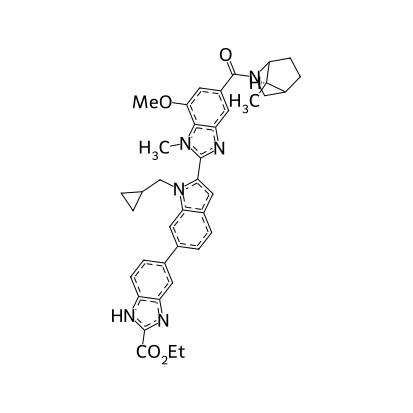 CCOC(=O)c1nc2cc(-c3ccc4cc(-c5nc6cc(C(=O)N7CC8CCC7[C@@H]8C)cc(OC)c6n5C)n(CC5CC5)c4c3)ccc2[nH]1